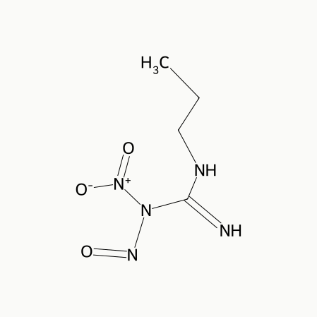 CCCNC(=N)N(N=O)[N+](=O)[O-]